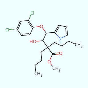 CCCCC(CCCC)(C(=O)OC)C(O)C(Oc1ccc(Cl)cc1Cl)c1ccc[nH]1